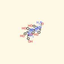 NC(=O)CCNC[C@@H](Cc1ccc(O)cc1)NCC(Cc1ccc(O)cc1)NC[C@@H](Cc1ccc(O)cc1)NCC(Cc1ccc(O)cc1)NC[C@@H](Cc1ccc(O)cc1)NC[C@H](N)Cc1ccc(O)cc1